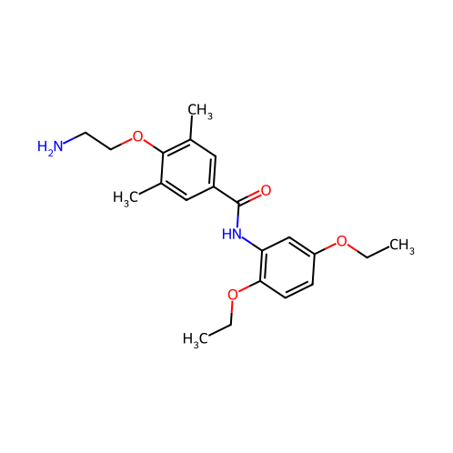 CCOc1ccc(OCC)c(NC(=O)c2cc(C)c(OCCN)c(C)c2)c1